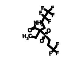 CCC(CCC(F)(F)C(F)(F)F)(C(N)=O)S(=O)(=O)CCC(F)(F)F